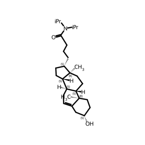 CC(C)N(C(=O)CCC[C@H]1CC[C@H]2[C@@H]3CC=C4C[C@@H](O)CC[C@]4(C)[C@H]3CC[C@]12C)C(C)C